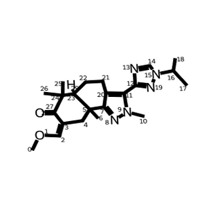 CO/C=C1/CC2(C)c3nn(C)c(-c4ncn(C(C)C)n4)c3CC[C@H]2C(C)(C)C1=O